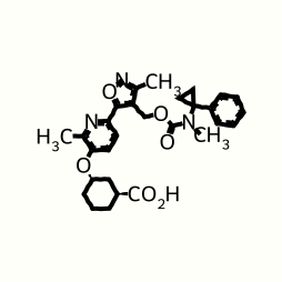 Cc1nc(-c2onc(C)c2COC(=O)N(C)C2(c3ccccc3)CC2)ccc1O[C@H]1CCC[C@H](C(=O)O)C1